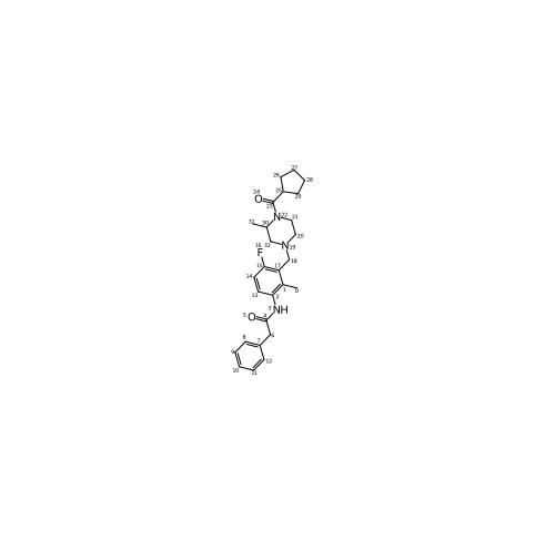 Cc1c(NC(=O)Cc2ccccc2)ccc(F)c1CN1CCN(C(=O)C2CCCC2)C(C)C1